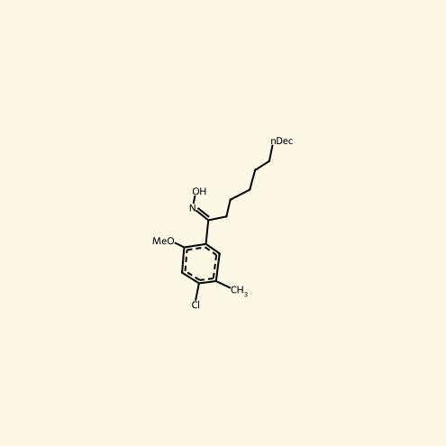 CCCCCCCCCCCCCCCC(=NO)c1cc(C)c(Cl)cc1OC